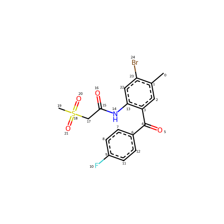 Cc1cc(C(=O)c2ccc(F)cc2)c(NC(=O)CS(C)(=O)=O)cc1Br